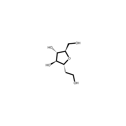 OCC[C@H]1O[C@H](CO)[C@@H](O)[C@@H]1O